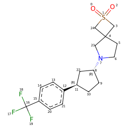 O=S1(=O)CC2(CCN([C@@H]3CC[C@@H](c4ccc(C(F)(F)F)cc4)C3)C2)C1